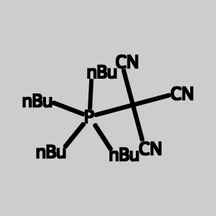 CCCCP(CCCC)(CCCC)(CCCC)C(C#N)(C#N)C#N